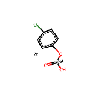 O=[AsH](O)Oc1ccc(Cl)cc1.[Zr]